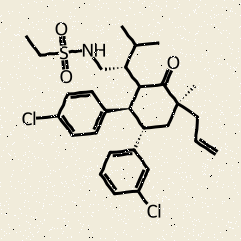 C=CC[C@@]1(C)C[C@H](c2cccc(Cl)c2)[C@@H](c2ccc(Cl)cc2)C([C@H](CNS(=O)(=O)CC)C(C)C)C1=O